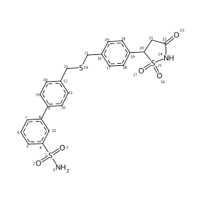 NS(=O)(=O)c1cccc(-c2ccc(CSCc3ccc(C4CC(=O)NS4(=O)=O)cc3)cc2)c1